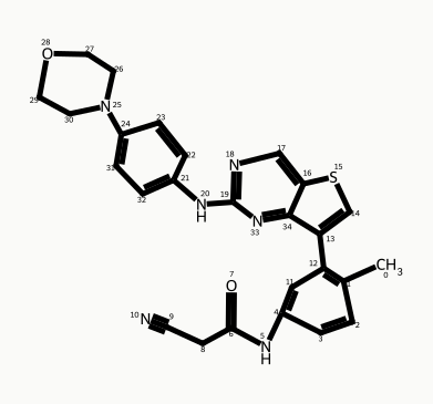 Cc1ccc(NC(=O)CC#N)cc1-c1csc2cnc(Nc3ccc(N4CCOCC4)cc3)nc12